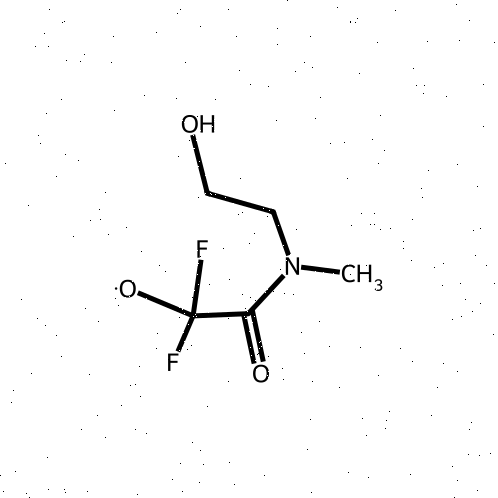 CN(CCO)C(=O)C([O])(F)F